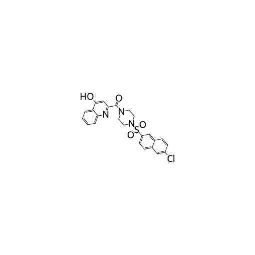 O=C(c1cc(O)c2ccccc2n1)N1CCN(S(=O)(=O)c2ccc3cc(Cl)ccc3c2)CC1